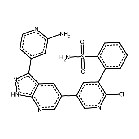 Nc1cc(-c2n[nH]c3ncc(-c4cnc(Cl)c(-c5ccccc5S(N)(=O)=O)c4)cc23)ccn1